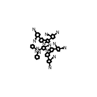 N#Cc1ccc(-c2ccc3c(c2)c2cc(-c4ccc(C#N)cc4C#N)ccc2n3-c2cc(-c3nc(-c4ccccc4)nc(-c4ccccc4)n3)cc(-n3c4ccc(-c5ccc(C#N)cc5C#N)cc4c4cc(-c5ccc(C#N)cc5C#N)ccc43)c2C#N)c(C#N)c1